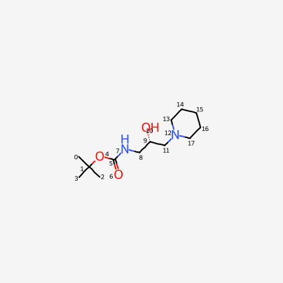 CC(C)(C)OC(=O)NC[C@H](O)CN1CCCCC1